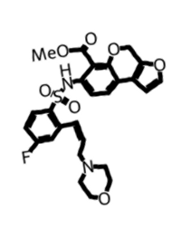 COC(=O)c1c(NS(=O)(=O)c2ccc(F)cc2/C=C\CN2CCOCC2)ccc2c1OCc1occc1-2